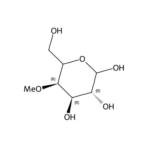 CO[C@H]1C(CO)OC(O)[C@H](O)[C@H]1O